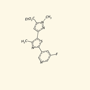 CCOC(=O)c1cc(-c2sc(-c3cncc(F)c3)nc2C)nn1C